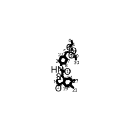 CCOP(=O)(Cc1ccc(NC(=O)C2SCC(=O)c3cc(C)c(C)cc32)cc1)OCC